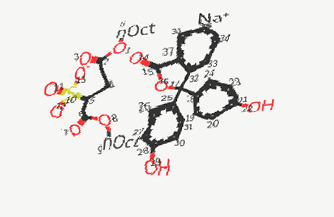 CCCCCCCCOC(=O)CC(C(=O)OCCCCCCCC)S(=O)(=O)[O-].O=C1OC(c2ccc(O)cc2)(c2ccc(O)cc2)c2ccccc21.[Na+]